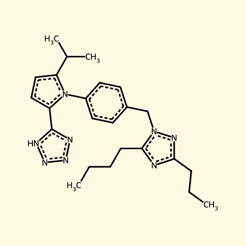 CCCCc1nc(CCC)nn1Cc1ccc(-n2c(-c3nnn[nH]3)ccc2C(C)C)cc1